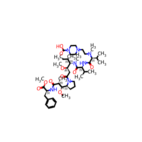 CC[C@H](C)[C@@H]([C@@H](CC(=O)N1CCC[C@H]1[C@H](OC)[C@@H](C)C(=O)N[C@@H](Cc1ccccc1)C(=O)OC)OC)N(C)C(=O)[C@@H](NC(=O)[C@H](C(C)C)N(C)CCN1CCN(C(=O)O)CC1)C(C)C